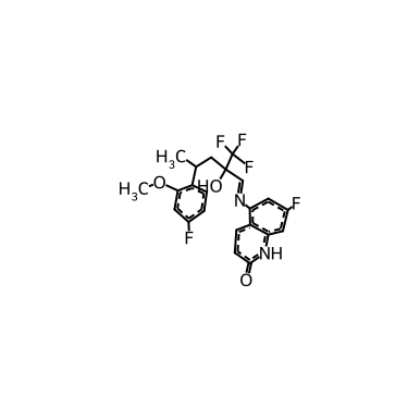 COc1cc(F)ccc1C(C)CC(O)(C=Nc1cc(F)cc2[nH]c(=O)ccc12)C(F)(F)F